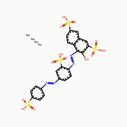 O=S(=O)(O)c1ccc(N=Nc2ccc(N=Nc3c(O)c(S(=O)(=O)O)cc4cc(S(=O)(=O)O)ccc34)c(S(=O)(=O)O)c2)cc1.[Na].[Na].[Na].[Na]